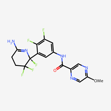 COc1cnc(C(=O)Nc2cc(F)c(F)c([C@@]3(F)N=C(N)CCC3(F)F)c2)cn1